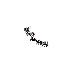 CN(C)CCC(=O)Nc1ccc2c(=O)n(CC3(O)CCN(C(=O)C(CCCNC(=O)c4ccc5c(Cl)ccnc5n4)Cc4ccccc4)CC3)cnc2c1